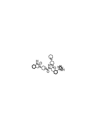 O=C(NC(Cc1cccc(-c2nnn[nH]2)c1)C(=O)N1CCC(N2CCCCC2)CC1)N1CCC(N2Cc3ccccc3NC2=O)CC1